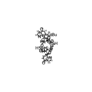 C[C@H]1[C@H]2OP(=O)(S)OC[C@H]3O[C@@H](n4ccc(=O)n5ccnc45)[C@H](O[Si](C)(C)C(C)(C)C)[C@@H]3OP(=O)(S)OC[C@H]1O[C@H]2n1ccc(=O)n2ccnc12